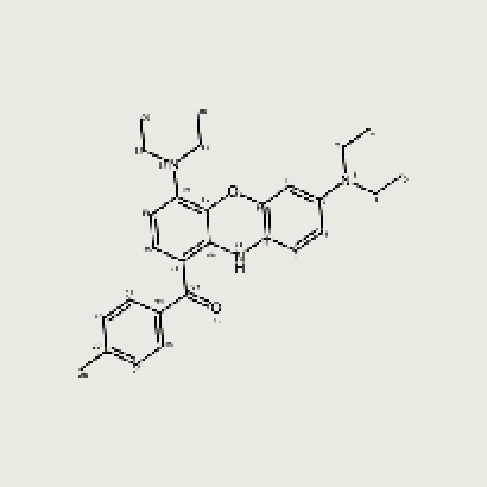 CCN(CC)c1ccc2c(c1)Oc1c(N(CC)CC)ccc(C(=O)c3ccc(C)cc3)c1N2